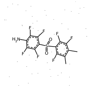 Cc1c(C)c(F)c(S(=O)(=O)c2c(F)c(F)c(N)c(F)c2F)c(F)c1F